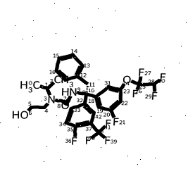 CC(C)N(CCO)C(=O)N[C@@](Cc1ccccc1)(c1cc(F)cc(OC(F)(F)C(F)F)c1)c1ccc(F)c(C(F)(F)F)c1